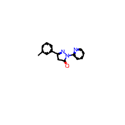 Cc1cccc(C2=NN(c3ccccn3)C(=O)C2)c1